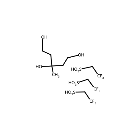 CC(O)(CCO)CCO.O=S(=O)(O)CC(F)(F)F.O=S(=O)(O)CC(F)(F)F.O=S(=O)(O)CC(F)(F)F